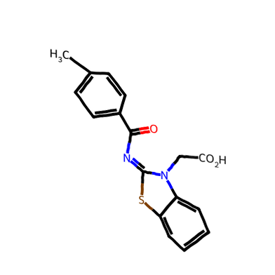 Cc1ccc(C(=O)N=c2sc3ccccc3n2CC(=O)O)cc1